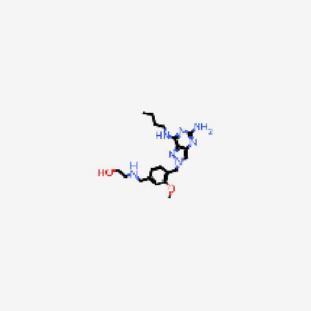 CCCCNc1nc(N)nc2cn(Cc3ccc(CNCCO)cc3OC)nc12